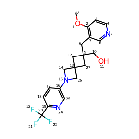 COc1ccncc1CC1(CO)CC2(CN(c3ccc(C(F)(F)F)nc3)C2)C1